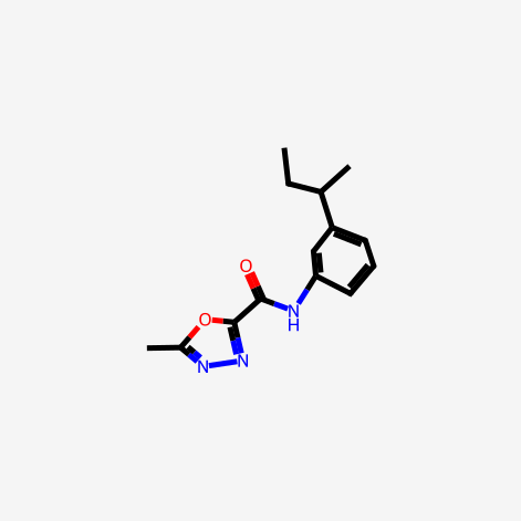 CCC(C)c1cccc(NC(=O)c2nnc(C)o2)c1